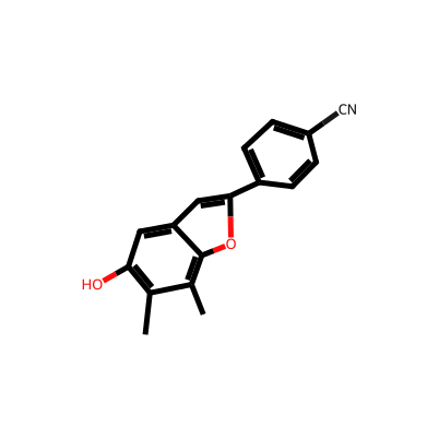 Cc1c(O)cc2cc(-c3ccc(C#N)cc3)oc2c1C